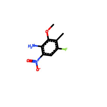 COc1c(C)c(F)cc([N+](=O)[O-])c1N